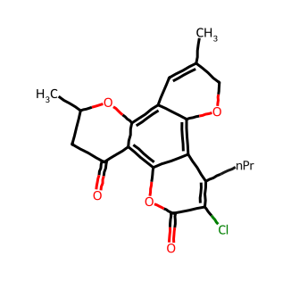 CCCc1c(Cl)c(=O)oc2c3c(c4c(c12)OCC(C)=C4)OC(C)CC3=O